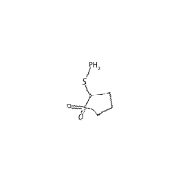 O=S1(=O)CCCC1SP